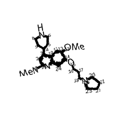 CNc1cc(C2CCNCC2)c2cc(OC)c(OCCCN3CCCC3)cc2n1